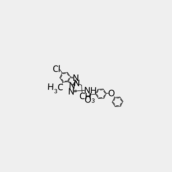 Cc1cc(Cl)cc2nn(CC(C)(C#N)NC(=O)c3ccc(Oc4ccccc4)cc3)nc12